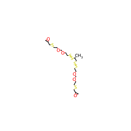 CC(CSSCCOCOCCSCC1CO1)SSCCOCOCCSCC1CO1